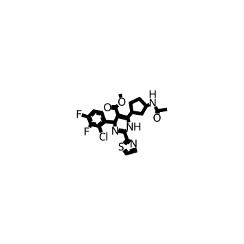 COC(=O)C1=C(C2CCC(NC(C)=O)C2)NC(c2nccs2)=NC1c1ccc(F)c(F)c1Cl